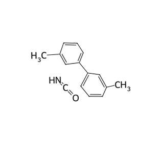 Cc1cccc(-c2cccc(C)c2)c1.N=C=O